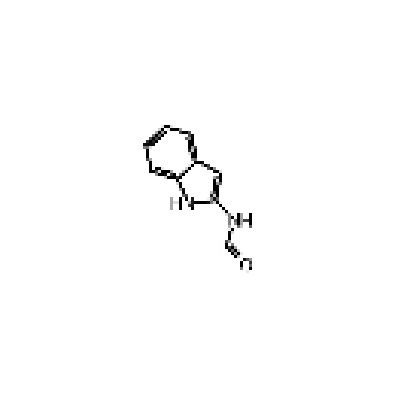 O=[C]Nc1cc2ccccc2[nH]1